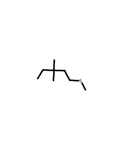 CCC(C)(C)CCSC